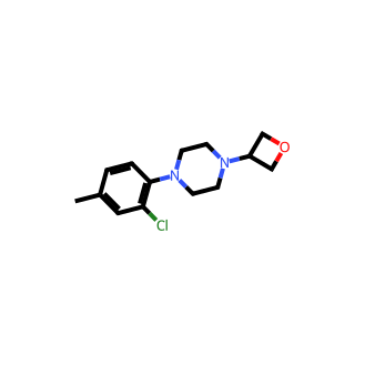 Cc1ccc(N2CCN(C3COC3)CC2)c(Cl)c1